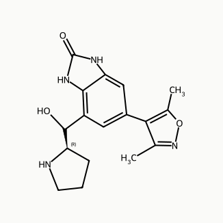 Cc1noc(C)c1-c1cc(C(O)[C@H]2CCCN2)c2[nH]c(=O)[nH]c2c1